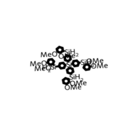 COc1cccc([SiH2]c2ccc([Si](c3ccc([SiH2]c4cccc(OC)c4OC)cc3)(c3ccc([SiH2]c4cccc(OC)c4OC)cc3)c3ccc([SiH2]c4cccc(OC)c4OC)cc3)cc2)c1OC